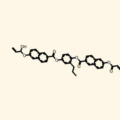 C=CC(=O)Oc1ccc2cc(C(=O)Oc3ccc(OC(=O)c4ccc5cc(OC(O)C=C)ccc5c4)cc3CCC)ccc2c1